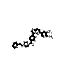 Nc1ncc(-c2ccc3ncc(-c4ccc(C(=O)N5CCN(CCc6ccccn6)CC5)cc4)n3n2)cc1C(F)(F)F